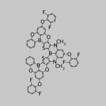 CN1c2cc(Oc3c(F)cccc3F)cc3c2B(c2sc4c(c21)Oc1cc(Oc2c(F)cccc2F)cc2c1B4c1ccccc1O2)c1sc2c(c1N3C)Oc1cc(Oc3c(F)cccc3F)cc3c1B2c1ccccc1O3